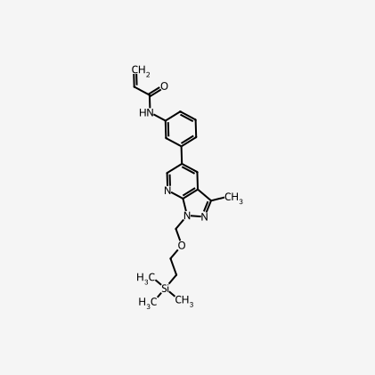 C=CC(=O)Nc1cccc(-c2cnc3c(c2)c(C)nn3COCC[Si](C)(C)C)c1